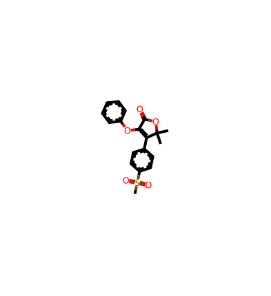 CC1(C)OC(=O)C(Oc2ccccc2)=C1c1ccc(S(C)(=O)=O)cc1